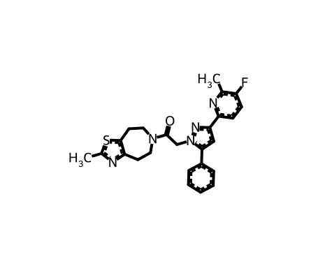 Cc1nc2c(s1)CCN(C(=O)Cn1nc(-c3ccc(F)c(C)n3)cc1-c1ccccc1)CC2